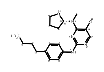 CN(c1nc(Nc2ccc(CCCC(=O)O)cc2)ncc1Cl)[C@@H]1CCCO1